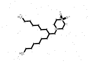 CCCCCCCC(CCCCCCC)CN1CCS(=O)(=O)CC1